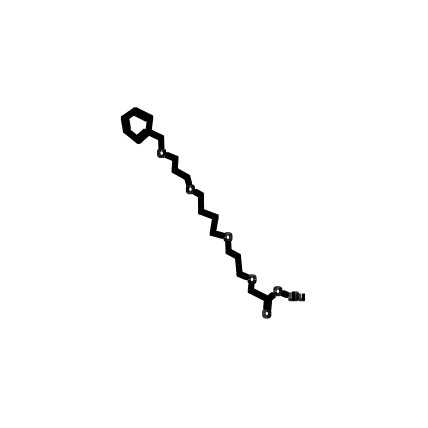 CC(C)(C)OC(=O)COCCCOCCCCOCCCOCc1ccccc1